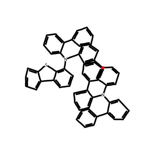 c1ccc(-c2ccccc2N(c2cccc(-c3cccc(N(c4ccccc4-c4ccccc4)c4cccc5c4sc4ccccc45)c3)c2)c2ccccc2-c2ccccc2)cc1